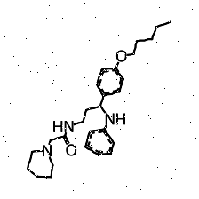 CCCCCOc1ccc(C(CCNC(=O)CN2CCCCC2)Nc2ccccc2)cc1